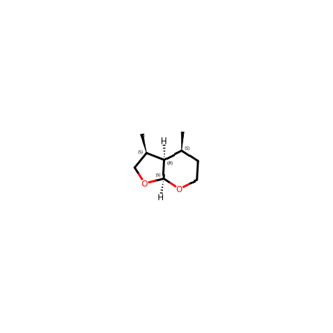 C[C@@H]1CO[C@@H]2OCC[C@H](C)[C@@H]21